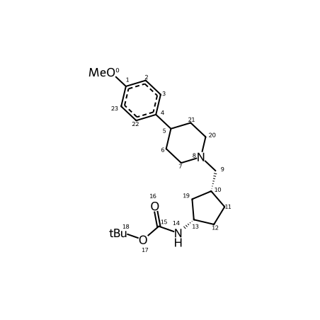 COc1ccc(C2CCN(C[C@@H]3CC[C@H](NC(=O)OC(C)(C)C)C3)CC2)cc1